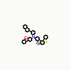 C[Si]1(C)c2cc(N(c3cccc(-c4ccc5ccccc5c4)c3)c3ccc4c(c3)oc3ccccc34)ccc2-c2c1ccc1sc3ccccc3c21